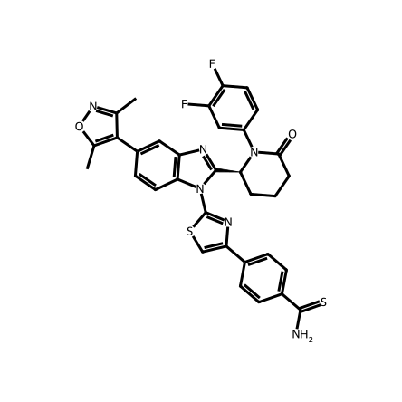 Cc1noc(C)c1-c1ccc2c(c1)nc([C@@H]1CCCC(=O)N1c1ccc(F)c(F)c1)n2-c1nc(-c2ccc(C(N)=S)cc2)cs1